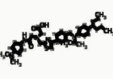 CCCC(CCC)c1ccc(N(Cc2ccc(-c3csc(CN(CC(=O)O)CC(=O)Nc4ccc(N(C)C)cc4)n3)cc2)C(C)C)cc1